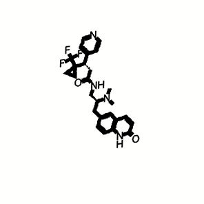 CN(C)[C@H](CNC(=O)C[C@@H](c1ccncc1)C1(C(F)(F)F)CC1)Cc1ccc2[nH]c(=O)ccc2c1